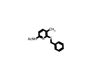 CC(=O)Nc1ccc(C)c(SCc2ccccc2)n1